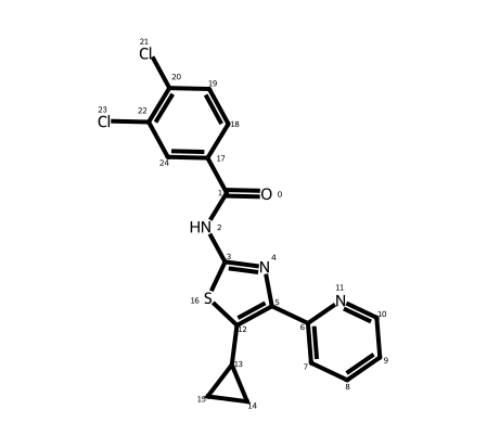 O=C(Nc1nc(-c2ccccn2)c(C2CC2)s1)c1ccc(Cl)c(Cl)c1